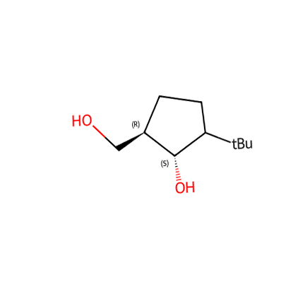 CC(C)(C)C1CC[C@H](CO)[C@H]1O